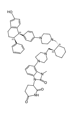 Cn1c(=O)n(C2CCC(=O)NC2=O)c2cccc(N3CCN(C[C@@H]4CCCC[C@H]4CN4CCN(c5ccc([C@@H]6c7ccc(O)cc7CC[C@@H]6c6ccccc6)cc5)CC4)CC3)c21